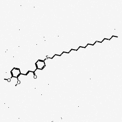 CCCCCCCCCCCCCCCCCSc1ccc(C(=O)C=Cc2cccc(OC)c2OC)cc1